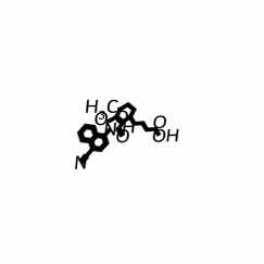 C[C@@]12CCC(CCCC(=O)O)(O1)[C@@H]1C(=O)N(c3ccc(C#N)c4ccccc34)C(=O)C12